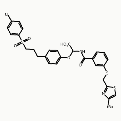 CC(C)(C)c1csc(CSc2cccc(C(=O)NC(Oc3ccc(CCCS(=O)(=O)c4ccc(Cl)cc4)cc3)C(=O)O)c2)n1